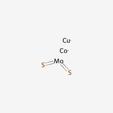 [Co].[Cu].[S]=[Mo]=[S]